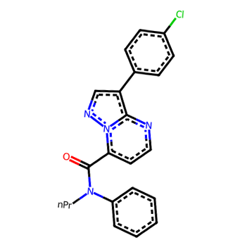 CCCN(C(=O)c1ccnc2c(-c3ccc(Cl)cc3)cnn12)c1ccccc1